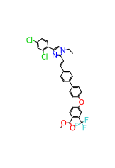 CCn1cc(-c2ccc(Cl)cc2Cl)nc1C=Cc1ccc(-c2ccc(Oc3ccc(C(=O)OC)c(C(F)(F)F)c3)cc2)cc1